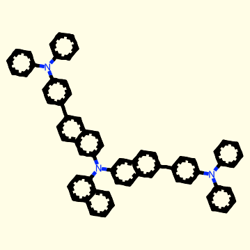 c1ccc(N(c2ccccc2)c2ccc(-c3ccc4cc(N(c5ccc6cc(-c7ccc(N(c8ccccc8)c8ccccc8)cc7)ccc6c5)c5cccc6ccccc56)ccc4c3)cc2)cc1